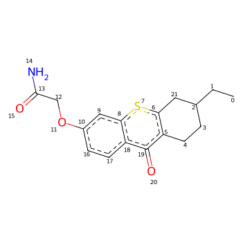 CCC1CCc2c(sc3cc(OCC(N)=O)ccc3c2=O)C1